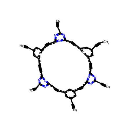 C#Cc1cc2c#cc3nc(C#C)nc(c#cc4cc(C#C)cc(c#cc5nc(C#C)nc(c#cc6cc(C#CC)cc(c#cc7nc(C#C)nc(c#cc(c1)c2)n7)c6)n5)c4)n3